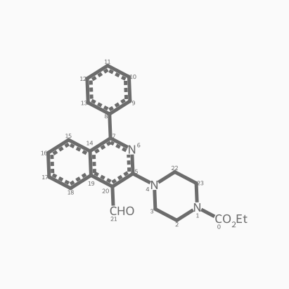 CCOC(=O)N1CCN(c2nc(-c3ccccc3)c3ccccc3c2C=O)CC1